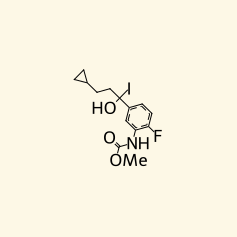 COC(=O)Nc1cc(C(O)(I)CCC2CC2)ccc1F